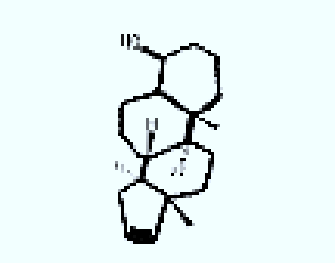 C[C@@]12C=CC[C@H]1[C@@H]1CCC3C(O)CCC[C@]3(C)[C@H]1CC2